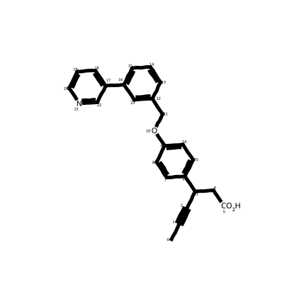 CC#CC(CC(=O)O)c1ccc(OCc2cccc(-c3cccnc3)c2)cc1